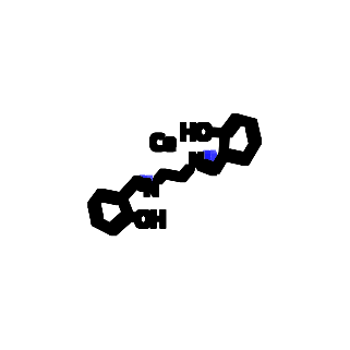 Oc1ccccc1/C=N/CC/N=C/c1ccccc1O.[Ce]